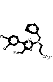 CCC(C)Cc1sc(N(CCC(=O)O)Cc2ccccc2)nc1-c1ccc(Cl)c(Cl)c1